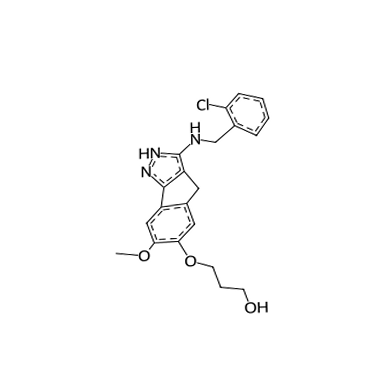 COc1cc2c(cc1OCCCO)Cc1c-2n[nH]c1NCc1ccccc1Cl